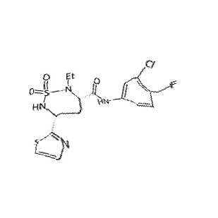 CCN1[C@H](C(=O)Nc2ccc(F)c(Cl)c2)C[C@H](c2nccs2)NS1(=O)=O